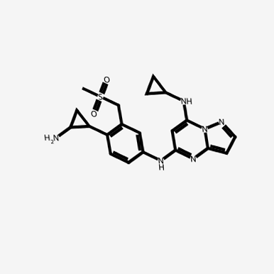 CS(=O)(=O)Cc1cc(Nc2cc(NC3CC3)n3nccc3n2)ccc1C1CC1N